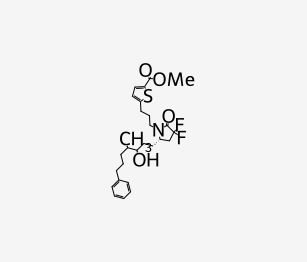 COC(=O)c1ccc(CCCN2C(=O)C(F)(F)C[C@@H]2CC[C@@H](O)[C@H](C)CCCc2ccccc2)s1